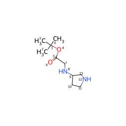 CC(C)(C)OC(=O)CNC1CCNC1